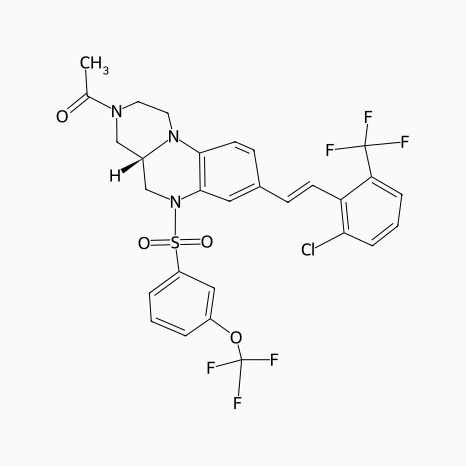 CC(=O)N1CCN2c3ccc(/C=C/c4c(Cl)cccc4C(F)(F)F)cc3N(S(=O)(=O)c3cccc(OC(F)(F)F)c3)C[C@@H]2C1